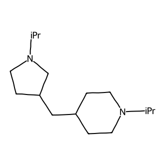 CC(C)N1CCC(CC2CCN(C(C)C)C2)CC1